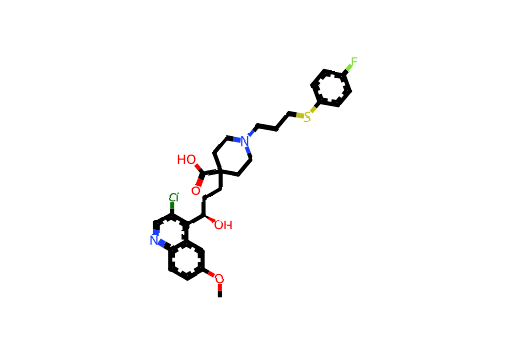 COc1ccc2ncc(Cl)c([C@H](O)CCC3(C(=O)O)CCN(CCCSc4ccc(F)cc4)CC3)c2c1